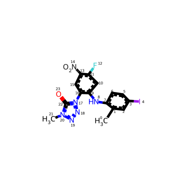 Cc1cc(I)ccc1Nc1cc(F)c([N+](=O)[O-])cc1-n1nnn(C)c1=O